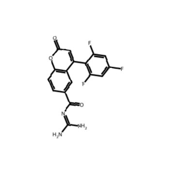 NC(N)=NC(=O)c1ccc2oc(=O)cc(-c3c(F)cc(F)cc3F)c2c1